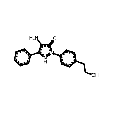 Nc1c(-c2ccccc2)[nH]n(-c2ccc(CCO)cc2)c1=O